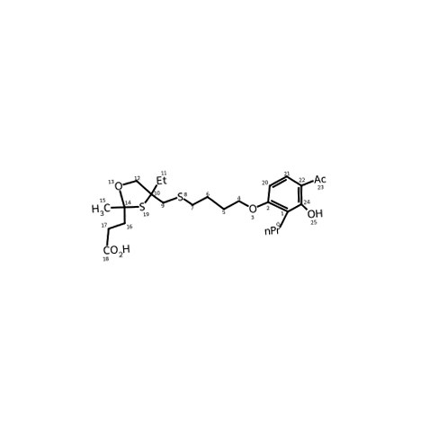 CCCc1c(OCCCCSCC2(CC)COC(C)(CCC(=O)O)S2)ccc(C(C)=O)c1O